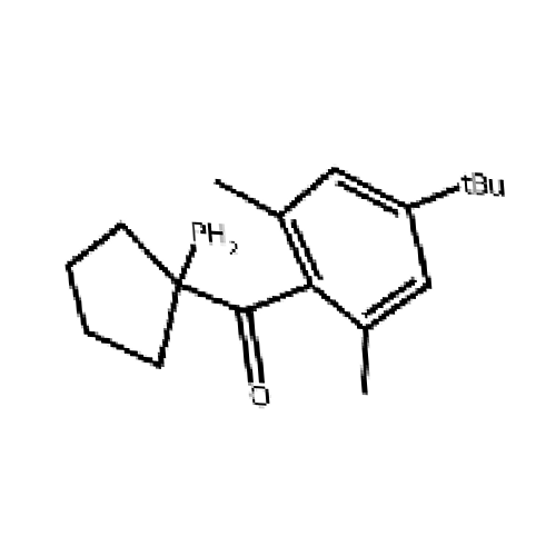 Cc1cc(C(C)(C)C)cc(C)c1C(=O)C1(P)CCCC1